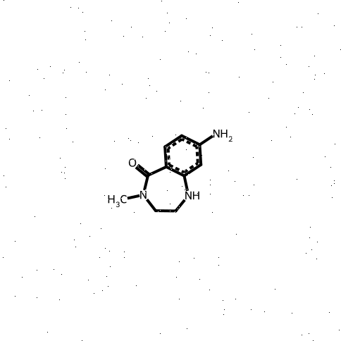 CN1CCNc2cc(N)ccc2C1=O